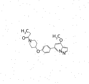 CCC(=O)N1CCC(Oc2ccc(-c3cc(OC)c4ccnn4c3)cc2)CC1